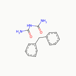 NC(=O)NC(N)=O.c1ccc(Cc2ccccc2)cc1